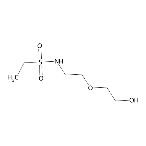 CCS(=O)(=O)NCCOCCO